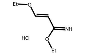 CCOC=CC(=N)OCC.Cl